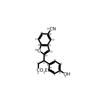 CCOC(=O)CC(c1ccc(O)cc1)c1cc2cc(C#N)ccc2o1